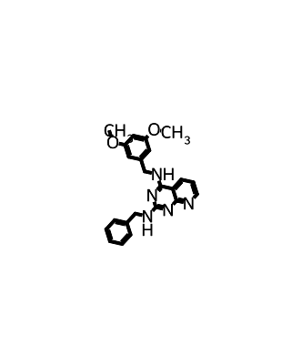 COc1cc(CNc2nc(NCc3ccccc3)nc3ncccc23)cc(OC)c1